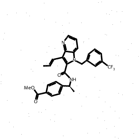 C/C=C/c1c(C(=O)N[C@@H](C)c2ccc(C(=O)OC)cc2)n(Cc2cccc(C(F)(F)F)c2)c2cccnc12